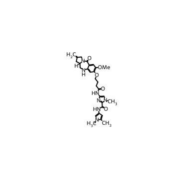 C=C1C[C@H]2CNc3cc(OCCCC(=O)Nc4cn(C)c(C(=O)Nc5cc(C)n(C)c5)n4)c(OC)cc3C(=O)N2C1